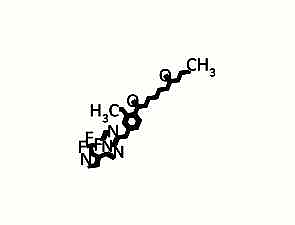 CCCCC(=O)CCCCCC(=O)c1ccc(Cc2nccn3c(C4=CCN=C4C(F)(F)F)cnc23)cc1CC